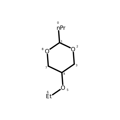 CCCC1OCC(OCC)CO1